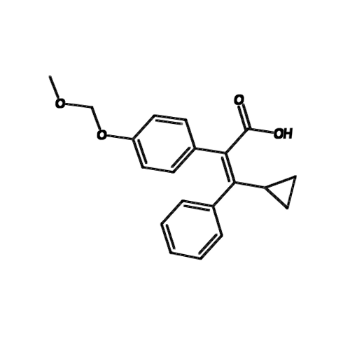 COCOc1ccc(C(C(=O)O)=C(c2ccccc2)C2CC2)cc1